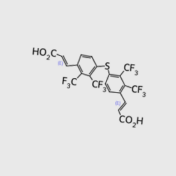 O=C(O)/C=C/c1ccc(Sc2ccc(/C=C/C(=O)O)c(C(F)(F)F)c2C(F)(F)F)c(C(F)(F)F)c1C(F)(F)F